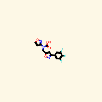 O=C(O)N(Cc1cc(-c2cc(F)c(F)c(F)c2)no1)c1ccon1